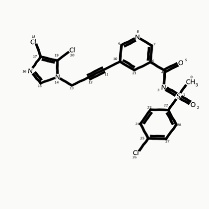 CS(=O)(=NC(=O)c1cncc(C#CCn2cnc(Cl)c2Cl)c1)c1ccc(Cl)cc1